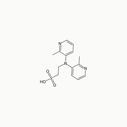 Cc1ncccc1N(CCS(=O)(=O)O)c1cccnc1C